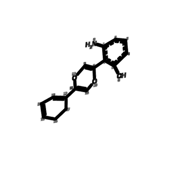 Nc1cccc(O)c1C1=COC(C2=CC=CCC2)=CO1